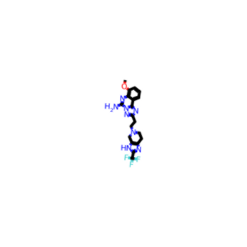 COc1cccc2c1nc(N)n1nc(CCN3CCc4nc(C(F)(F)F)[nH]c4C3)nc21